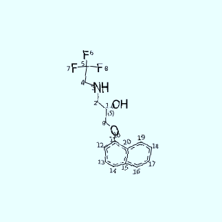 O[C@@H](CNCC(F)(F)F)COc1cccc2ccccc12